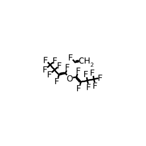 C=CF.FC(OC(F)=C(F)C(F)(F)C(F)(F)F)=C(F)C(F)(F)C(F)(F)F